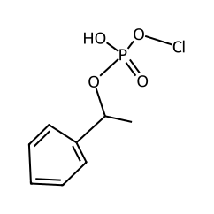 CC(OP(=O)(O)OCl)c1ccccc1